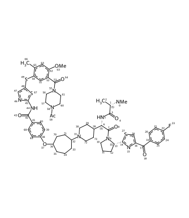 CN[C@@H](C)C(=O)N[C@H](C(=O)N1CCC[C@H]1c1nc(C(=O)c2ccc(F)cc2)cs1)C1CCN(C2CCCC(Oc3ccc(C(=O)Nc4ncc(Sc5cc(C(=O)N6CCN(C(C)=O)CC6)c(OC)cc5C)s4)cc3)CC2)CC1